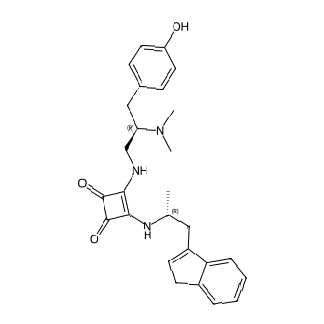 C[C@H](CC1=CCc2ccccc21)Nc1c(NC[C@@H](Cc2ccc(O)cc2)N(C)C)c(=O)c1=O